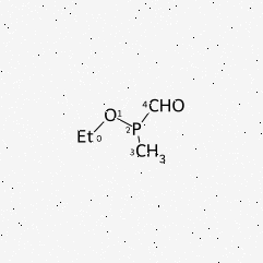 CCOP(C)C=O